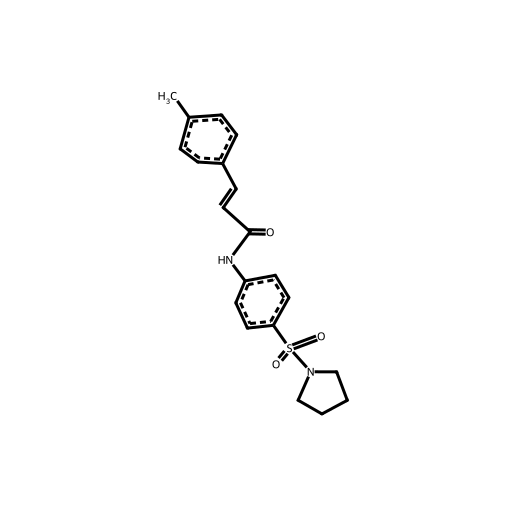 Cc1ccc(C=CC(=O)Nc2ccc(S(=O)(=O)N3CCCC3)cc2)cc1